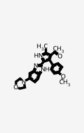 COc1ccc(-c2c(-c3nc4cc(N5CCOCC5)ccc4[nH]3)[nH]c(C)c2C(C)=O)cc1